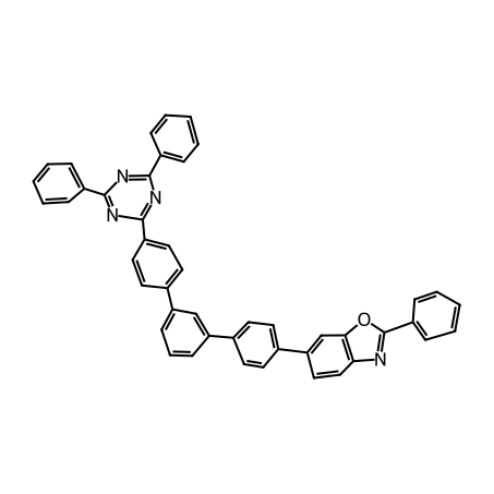 c1ccc(-c2nc(-c3ccccc3)nc(-c3ccc(-c4cccc(-c5ccc(-c6ccc7nc(-c8ccccc8)oc7c6)cc5)c4)cc3)n2)cc1